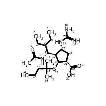 CCC(CC)[C@@H](NC(C)=O)[C@@H]1[C@H](SC(C)(C)CCO)[C@@H](C(=O)O)C[C@H]1NC(=N)N